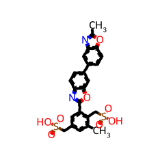 Cc1nc2cc(-c3ccc4nc(-c5cc(CS(=O)(=O)O)cc(C)c5CS(=O)(=O)O)oc4c3)ccc2o1